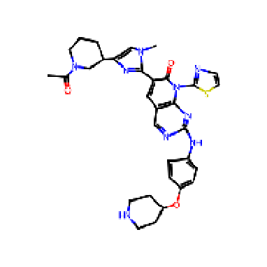 CC(=O)N1CCCC(c2cn(C)c(-c3cc4cnc(Nc5ccc(OC6CCNCC6)cc5)nc4n(-c4nccs4)c3=O)n2)C1